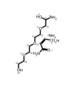 N.NC(=O)/C=C\C(=O)O.NC(O)COCCOCCOCCO